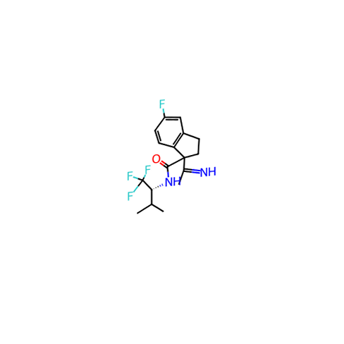 CC(=N)C1(C(=O)N[C@H](C(C)C)C(F)(F)F)CCc2cc(F)ccc21